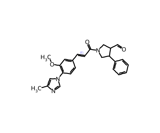 COc1cc(/C=C/C(=O)N2CC(C=O)C(c3ccccc3)C2)ccc1-n1cnc(C)c1